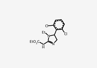 CCOC(=O)NC1=NCC(c2c(Cl)cccc2Cl)N1CC